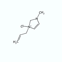 C=CC[N+]1(Cl)C=CN(C)C1